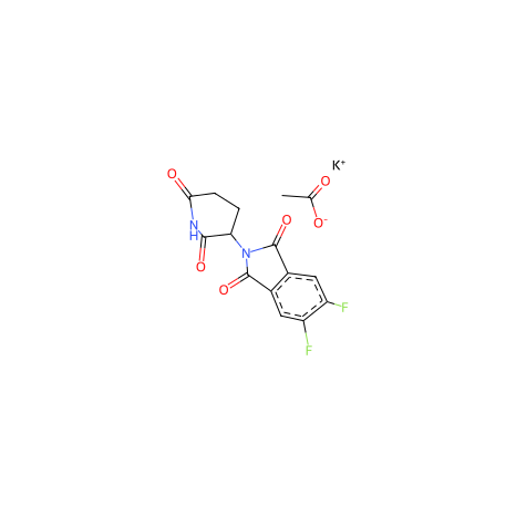 CC(=O)[O-].O=C1CCC(N2C(=O)c3cc(F)c(F)cc3C2=O)C(=O)N1.[K+]